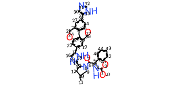 COC(=O)N[C@@H](C(=O)N1C[C@@H](C)C[C@H]1c1ncc(-c2cc3c4c(c2)OCc2cc(-c5cnc[nH]5)cc(c2-4)OC3)[nH]1)c1ccccc1